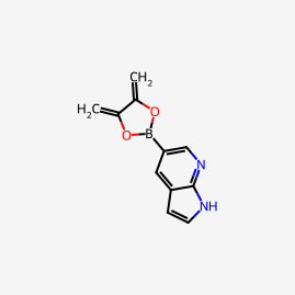 C=C1OB(c2cnc3[nH]ccc3c2)OC1=C